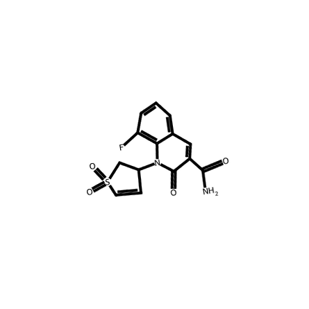 NC(=O)c1cc2cccc(F)c2n(C2C=CS(=O)(=O)C2)c1=O